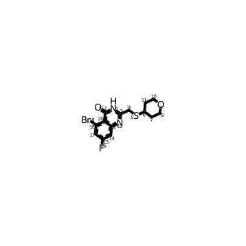 O=c1[nH]c(CSC2CCOCC2)nc2cc(F)cc(Br)c12